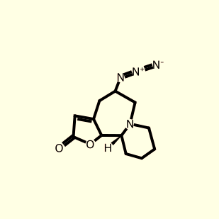 [N-]=[N+]=NC1CC2=CC(=O)OC2[C@H]2CCCCN2C1